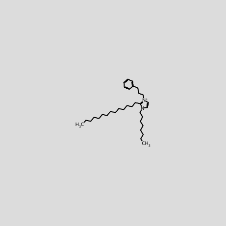 CCCCCCCCCCCCCCc1n(CCCCCCCC)cc[n+]1CCCc1ccccc1